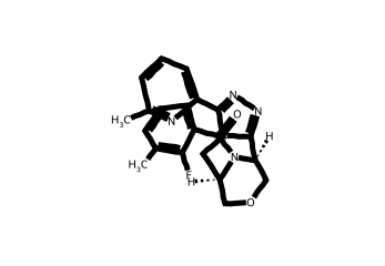 Cc1cccc(-c2nnc3n2C[C@@H]2COC[C@H]3N2C(=O)c2cccc(C)c2F)n1